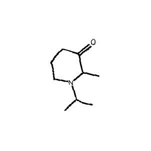 CC(C)N1CCCC(=O)C1C